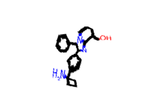 NC1(c2ccc(C3N=C4C(CO)=CC=CN4C3c3ccccc3)cc2)CCC1